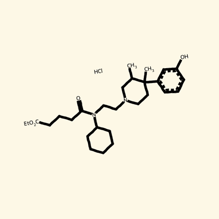 CCOC(=O)CCCC(=O)N(CCN1CCC(C)(c2cccc(O)c2)C(C)C1)C1CCCCC1.Cl